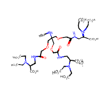 CC(C)(C)NC(COCC(=O)NCC(C(=O)O)N(CC(=O)O)CC(=O)O)(COCC(=O)NCC(C(=O)O)N(CC(=O)O)CC(=O)O)COCC(=O)NCC(C(=O)O)N(CC(=O)O)CC(=O)O